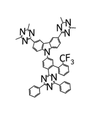 Cc1nc(C)nc(-c2ccc3c(c2)c2cc(-c4nc(C)nc(C)n4)ccc2n3-c2ccc(-c3nc(-c4ccccc4)nc(-c4ccccc4)n3)c(-c3ccccc3C(F)(F)F)c2)n1